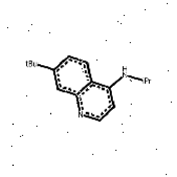 CC(C)Nc1ccnc2cc(C(C)(C)C)ccc12